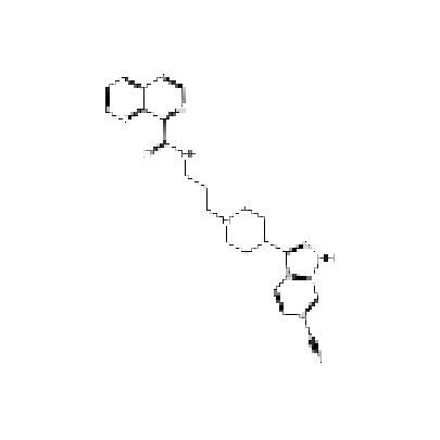 N#Cc1ccc2c(C3CCN(CCCNC(=O)c4nccc5ccccc45)CC3)c[nH]c2c1